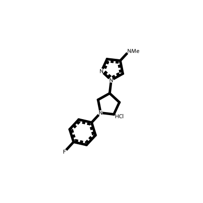 CNc1cnn(C2CCN(c3ccc(F)cc3)C2)c1.Cl